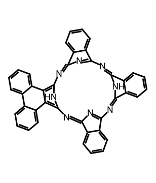 c1ccc2c(c1)-c1nc-2nc2[nH]c(nc3nc(nc4[nH]c(n1)c1ccccc41)-c1ccccc1-3)c1c3ccccc3c3ccccc3c21